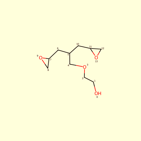 OCCOCC(CC1CO1)CC1CO1